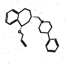 C=CCO[C@H]1C[C@@H](CN2CCC(c3ccccc3)CC2)CCc2ccccc21